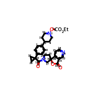 CCOC(=O)ON1CCC(c2ccc(C3(C(=O)N4CCC5(C4)OC(=O)c4cnccc45)CC3)cc2)CC1